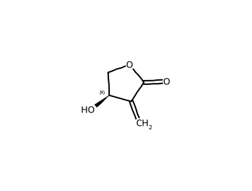 C=C1C(=O)OC[C@@H]1O